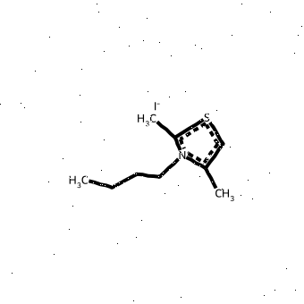 CCCC[n+]1c(C)csc1C.[I-]